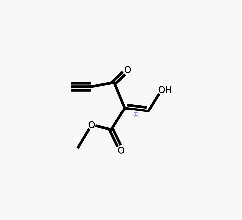 C#CC(=O)/C(=C\O)C(=O)OC